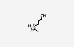 N#CCCC[SiH2]C(F)F